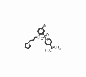 CN(C)C1CCN(S(=O)(=O)c2cc(Br)ccc2OCCCN2CCCC2)CC1